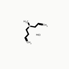 C=CCCN(C)CC=C.Cl